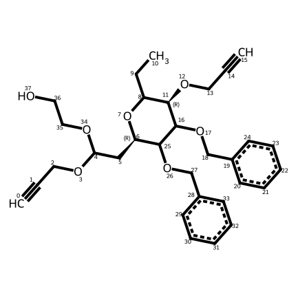 C#CCOC(C[C@H]1OC(CC)[C@@H](OCC#C)C(OCc2ccccc2)C1OCc1ccccc1)OCCO